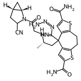 C[C@@H](CC1(C(=N)/N=N\N)c2cc(C(N)=O)sc2CCc2sc(C(N)=O)cc21)NCC(=O)N1C(C#N)C[C@@H]2C[C@@H]21